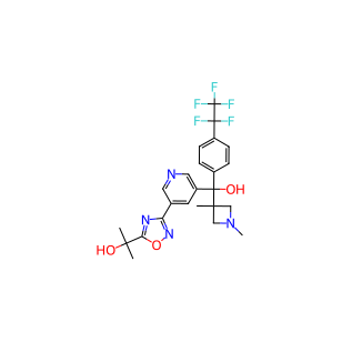 CN1CC(C)(C(O)(c2ccc(C(F)(F)C(F)(F)F)cc2)c2cncc(-c3noc(C(C)(C)O)n3)c2)C1